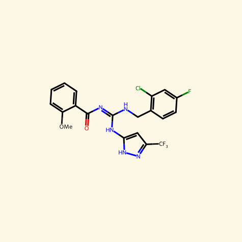 COc1ccccc1C(=O)/N=C(/NCc1ccc(F)cc1Cl)Nc1cc(C(F)(F)F)n[nH]1